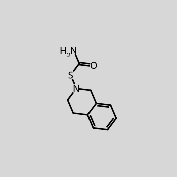 NC(=O)SN1CCc2ccccc2C1